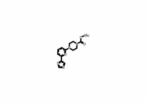 CC(C)(C)OC(=O)N1CCN(c2cccc(-c3cncs3)n2)CC1